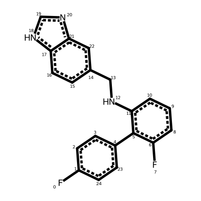 Fc1ccc(-c2c(F)cccc2NCc2ccc3[nH]cnc3c2)cc1